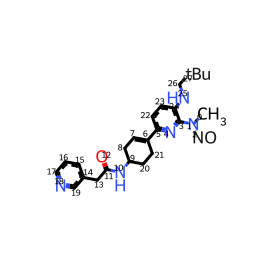 CN(N=O)c1nc(C2=CCC(NC(=O)Cc3cccnc3)CC2)ccc1NCC(C)(C)C